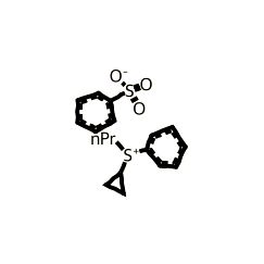 CCC[S+](c1ccccc1)C1CC1.O=S(=O)([O-])c1ccccc1